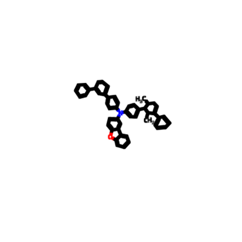 CC1CC=C(c2ccccc2)C(C)C1c1ccc(N(c2ccc(-c3cccc(-c4ccccc4)c3)cc2)c2ccc3oc4ccccc4c3c2)cc1